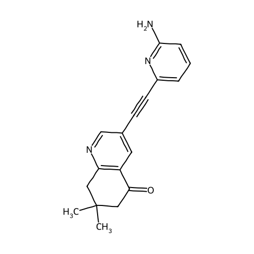 CC1(C)CC(=O)c2cc(C#Cc3cccc(N)n3)cnc2C1